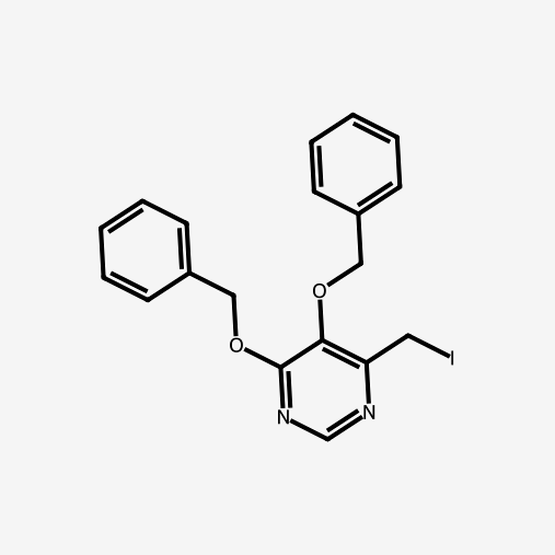 ICc1ncnc(OCc2ccccc2)c1OCc1ccccc1